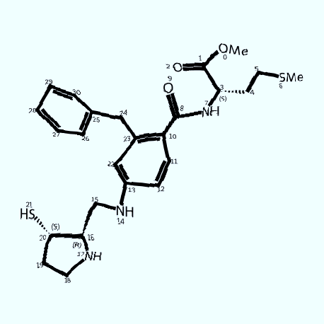 COC(=O)[C@H](CCSC)NC(=O)c1ccc(NC[C@H]2NCC[C@@H]2S)cc1Cc1ccccc1